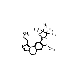 CCCc1ncn2c1-c1cc(B3OC(C)(C)C(C)(C)O3)c(OC)cc1CC2